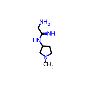 CN1CCC(NC(=N)CN)C1